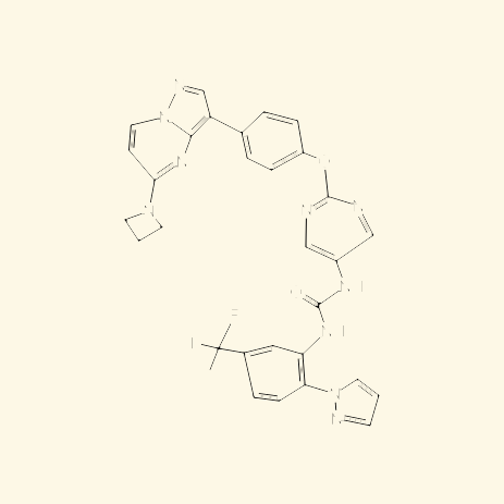 O=C(Nc1cnc(Oc2ccc(-c3cnn4ccc(N5CCC5)nc34)cc2)nc1)Nc1cc(C(F)(F)F)ccc1-n1cccn1